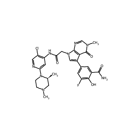 C[C@H]1CN(C)CCN1c1cc(NC(=O)Cn2cc(-c3cc(F)c(O)c(C(N)=O)c3)c3c(=O)n(C)cnc32)c(Cl)cn1